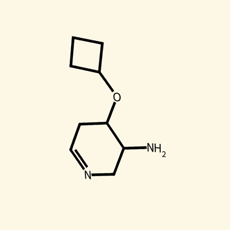 NC1CN=CCC1OC1CCC1